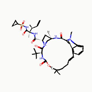 C=C[C@H](C)[C@@](C)(NC(=O)[C@@H]1C[C@@H]2CN1C(=O)[C@H](C(C)(C)C)NC(=O)OCC(C)(C)CC/C=C/c1cccc3c1cc(n3C)C(=O)N2)C(=O)NS(=O)(=O)C1CC1